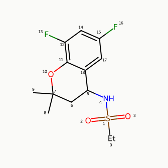 CCS(=O)(=O)NC1CC(C)(C)Oc2c(F)cc(F)cc21